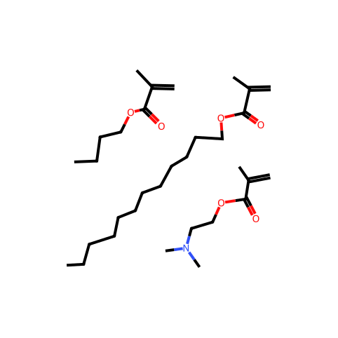 C=C(C)C(=O)OCCCC.C=C(C)C(=O)OCCCCCCCCCCCC.C=C(C)C(=O)OCCN(C)C